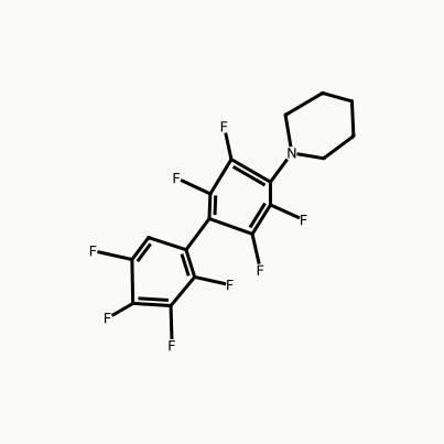 Fc1cc(-c2c(F)c(F)c(N3CCCCC3)c(F)c2F)c(F)c(F)c1F